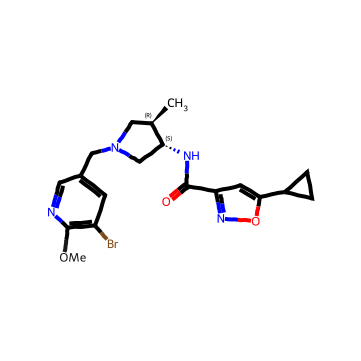 COc1ncc(CN2C[C@@H](C)[C@H](NC(=O)c3cc(C4CC4)on3)C2)cc1Br